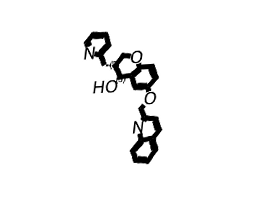 O[C@@H]1c2cc(OCc3ccc4ccccc4n3)ccc2OC[C@H]1Cc1ccccn1